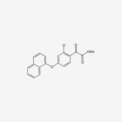 COC(=O)C(=O)c1ccc(Oc2cccc3ccccc23)cc1Cl